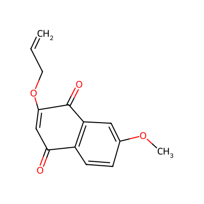 C=CCOC1=CC(=O)c2ccc(OC)cc2C1=O